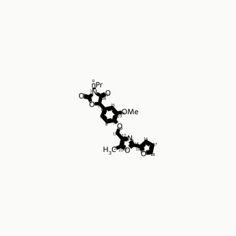 CCCN1C(=O)OC(c2ccc(OCc3nc(-c4ccco4)oc3C)c(OC)c2)C1=O